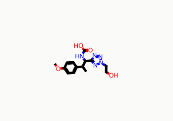 COc1ccc(C(C)C(NC(=O)O)c2nnn(CCO)n2)cc1